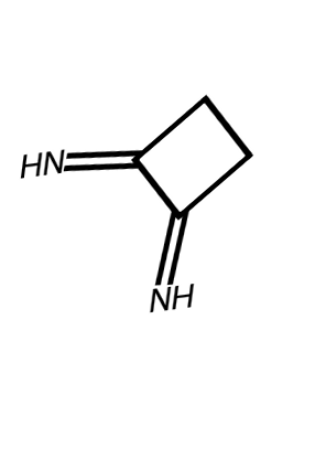 N=C1CCC1=N